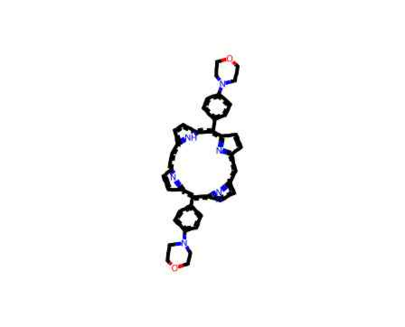 C1=Cc2nc1cc1ccc([nH]1)c(-c1ccc(N3CCOCC3)cc1)c1nc(cc3ccc([nH]3)c2-c2ccc(N3CCOCC3)cc2)C=C1